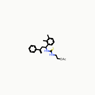 C=C(CC(NC(=S)NCCOC(C)=O)c1cccc(C)c1C)c1ccccc1